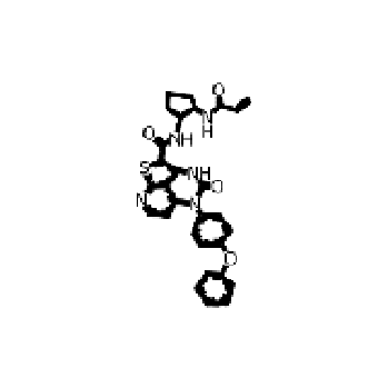 C=CC(=O)NC1CCCC1NC(=O)c1sc2nccc3c2c1NC(=O)N3c1ccc(Oc2ccccc2)cc1